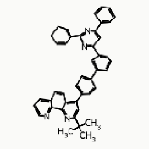 CC(C)(C)c1cc(-c2ccc(-c3cccc(-c4cc(-c5ccccc5)nc(C5=CCCC=C5)n4)c3)cc2)c2ccc3cccnc3c2n1